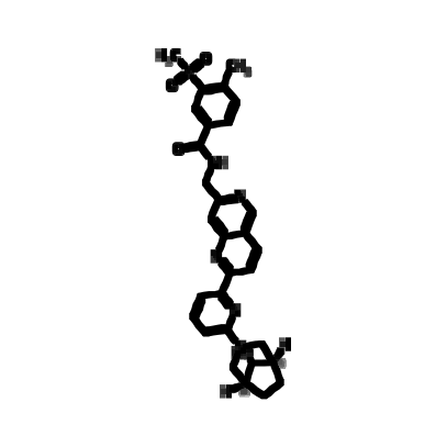 Cc1ccc(C(=O)NCc2cc3nc(-c4cccc(N5C[C@H]6CC[C@@H](C5)C6O)n4)ccc3cn2)cc1S(C)(=O)=O